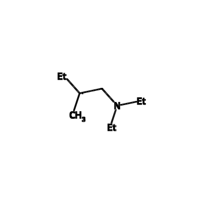 CC[C](C)CN(CC)CC